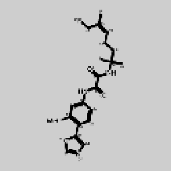 COc1cc(NC(=O)C(=O)NC(C)(C)CCC=C(C)CF)ccc1-c1cnco1